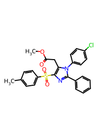 COC(=O)Cc1c(S(=O)(=O)c2ccc(C)cc2)nc(-c2ccccc2)n1-c1ccc(Cl)cc1